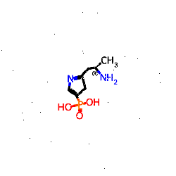 C[C@@H](N)CC1=NC=C(P(=O)(O)O)C1